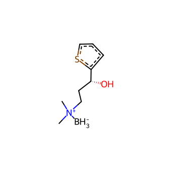 [BH3-][N+](C)(C)CC[C@@H](O)c1cccs1